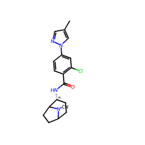 Cc1cnn(-c2ccc(C(=O)N[C@@H]3CCC4CCC3N4C#N)c(Cl)c2)c1